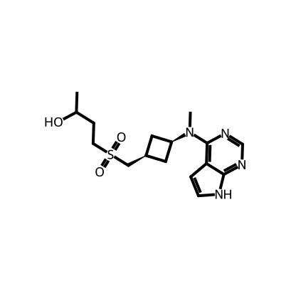 CC(O)CCS(=O)(=O)C[C@H]1C[C@@H](N(C)c2ncnc3[nH]ccc23)C1